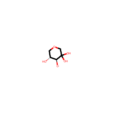 [O][C@H]1[C@H](O)COCC1(O)O